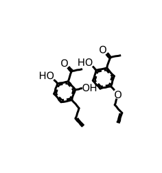 C=CCOc1ccc(O)c(C(C)=O)c1.C=CCc1ccc(O)c(C(C)=O)c1O